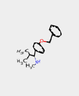 CN[C@@H](c1ccc(OCc2ccccc2)cc1)C(C)C